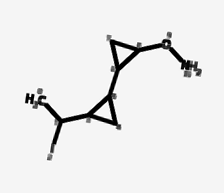 CC(I)C1CC1C1CC1ON